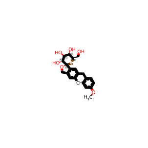 COc1ccc(Cc2cc3c(cc2C)CO[C@]32S[C@H](CO)[C@@H](O)[C@H](O)[C@H]2O)cc1